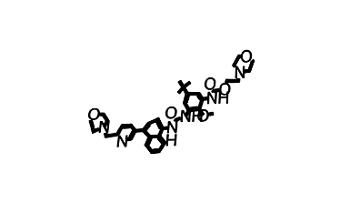 COc1c(NC(=O)Nc2ccc(-c3ccc(CN4CCOCC4)nc3)c3ccccc23)cc(C(C)(C)C)cc1NC(=O)OCCN1CCOCC1